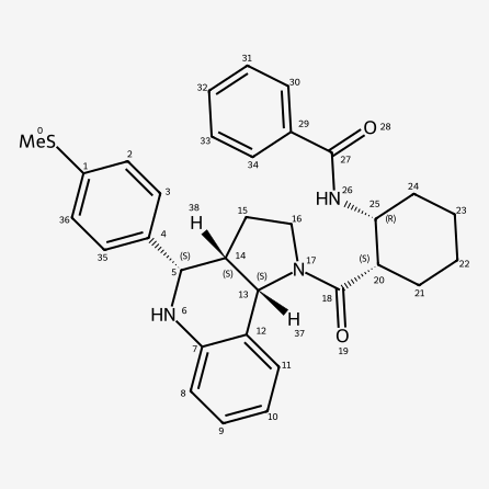 CSc1ccc([C@H]2Nc3ccccc3[C@@H]3[C@H]2CCN3C(=O)[C@H]2CCCC[C@H]2NC(=O)c2ccccc2)cc1